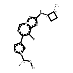 CCO[C@H](C)n1cc(-c2ncn3nc(N[C@@H]4CC[C@H]4C(F)(F)F)nc3c2F)cn1